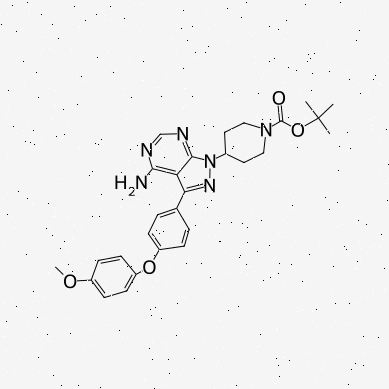 COc1ccc(Oc2ccc(-c3nn(C4CCN(C(=O)OC(C)(C)C)CC4)c4ncnc(N)c34)cc2)cc1